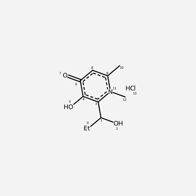 CCC(O)c1c(O)c(=O)cc(C)n1C.Cl